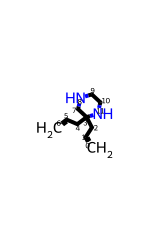 C=CCC1(CC=C)CNCCN1